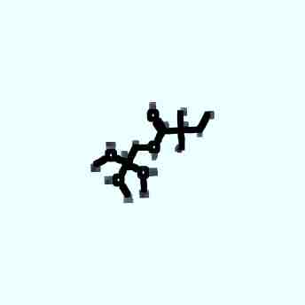 CCC(C)(C)C(=O)OC[Si](OC)(OC)OC